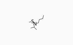 CCCCN(SC)C(C)C